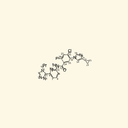 CC(C)n1cnnc1-c1cccc(NC(=O)c2cc(-n3cnc(C4CC4)c3)c(Cl)cc2F)n1